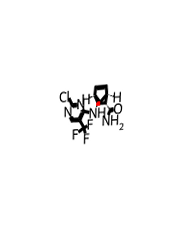 NC(=O)[C@@H]1[C@H](Nc2nc(Cl)ncc2C(F)(F)F)[C@H]2C=C[C@@H]1C2